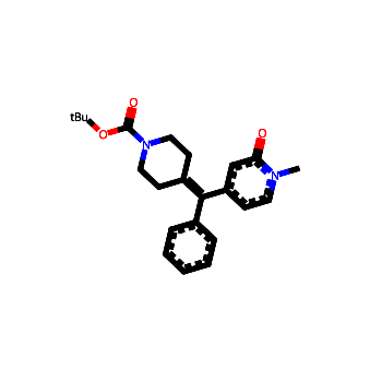 Cn1ccc(C(=C2CCN(C(=O)OC(C)(C)C)CC2)c2ccccc2)cc1=O